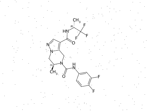 C[C@H]1Cn2ncc(C(=O)N[C@H](C)C(F)(F)F)c2CN1C(=O)Nc1ccc(F)c(F)c1